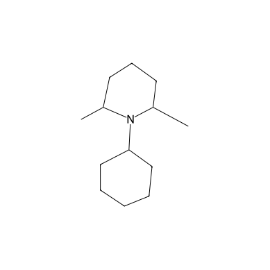 CC1CCCC(C)N1C1CCCCC1